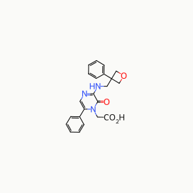 O=C(O)Cn1c(-c2ccccc2)cnc(NCC2(c3ccccc3)COC2)c1=O